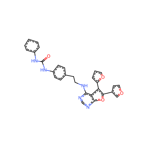 O=C(Nc1ccccc1)Nc1ccc(CCNc2ncnc3oc(-c4ccoc4)c(-c4ccco4)c23)cc1